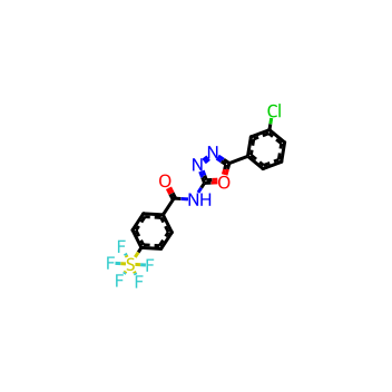 O=C(Nc1nnc(-c2cccc(Cl)c2)o1)c1ccc(S(F)(F)(F)(F)F)cc1